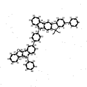 CC1(C)c2cc(-c3ccccc3)ccc2-c2cc3c4ccccc4n(-c4ccc(-c5ccc6c(c5)c5oc7ccccc7c5n6-c5ccccc5)cc4)c3cc21